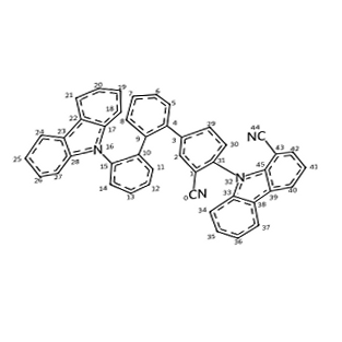 N#Cc1cc(-c2ccccc2-c2ccccc2-n2c3ccccc3c3ccccc32)ccc1-n1c2ccccc2c2cccc(C#N)c21